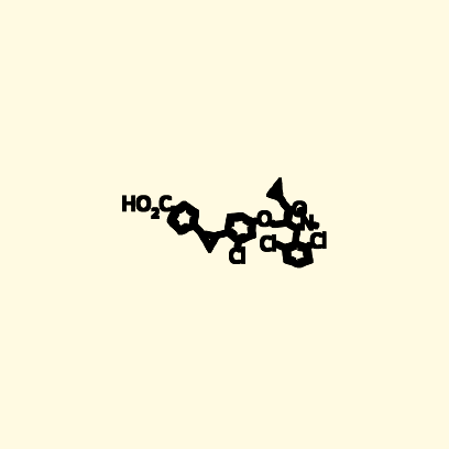 CN1OC(C2CC2)=C(COc2ccc(C3CC3c3ccc(C(=O)O)cc3)c(Cl)c2)C1c1c(Cl)cccc1Cl